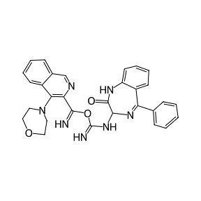 N=C(NC1N=C(c2ccccc2)c2ccccc2NC1=O)OC(=N)c1ncc2ccccc2c1N1CCOCC1